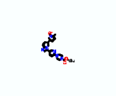 Cc1ccc(-c2ccc3ncc(-c4ccc(N5CCN(C(=O)OC(C)(C)C)CC5)nc4)n3c2)c[n+]1[O-]